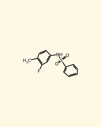 Cc1ccc(NS(=O)(=O)c2ccccc2)cc1F